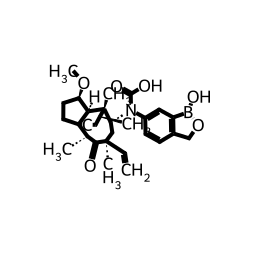 C=C[C@]1(C)C[C@@H](N(C(=O)O)c2ccc3c(c2)B(O)OC3)[C@]2(C)[C@H](C)CC[C@]3(CC[C@@H](OC)[C@H]32)[C@@H](C)C1=O